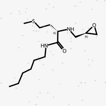 CCCCCCNC(=O)[C@H](CCSC)NC[C@@H]1CO1